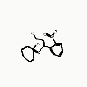 O=[N+]([O-])c1ccccc1C(CCO)OC1(O)CCCCC1